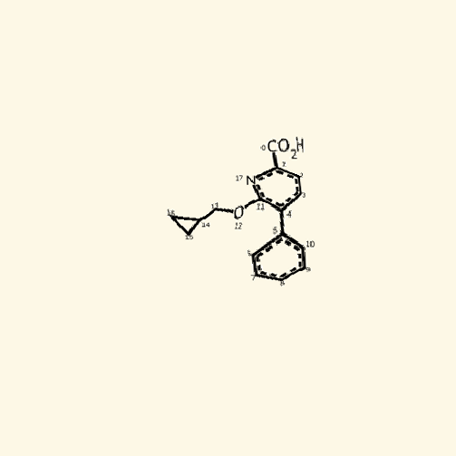 O=C(O)c1ccc(-c2ccccc2)c(OCC2CC2)n1